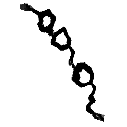 CCCCc1ccc([C@H]2CC[C@H](CO[C@H]3CC[C@H](CCC=CC#N)CC3)CC2)cc1